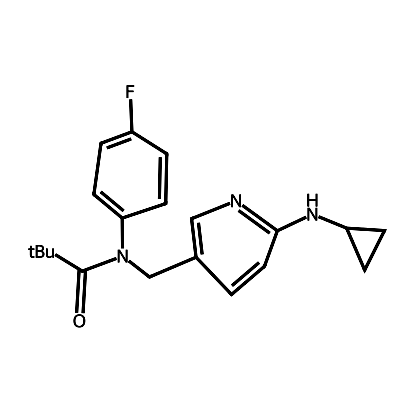 CC(C)(C)C(=O)N(Cc1ccc(NC2CC2)nc1)c1ccc(F)cc1